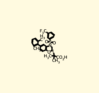 Cc1cccc(C)c1-c1ccc2c(c1)N(S(=O)(=O)c1cccc(C(F)(F)F)c1)C[C@H](CC(C)(C)C(=O)O)O2